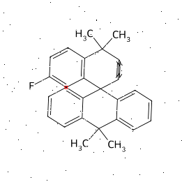 CC1(C)c2ccccc2C2(c3ccccc31)c1ccccc1C(C)(C)c1ccc(F)cc12